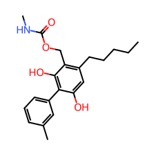 CCCCCc1cc(O)c(-c2cccc(C)c2)c(O)c1COC(=O)NC